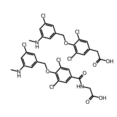 CNc1cc(Cl)cc(COc2c(Cl)cc(C(=O)NCC(=O)O)cc2Cl)c1.CNc1cc(Cl)cc(COc2c(Cl)cc(CC(=O)O)cc2Cl)c1